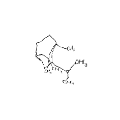 CP(C)C1CC2CCC1(C)C2(C)C